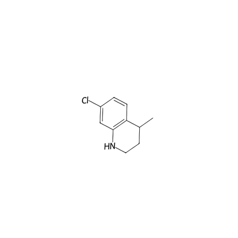 CC1CCNc2cc(Cl)ccc21